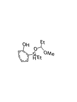 CCC(OC)O[SiH](CC)c1ccccc1O